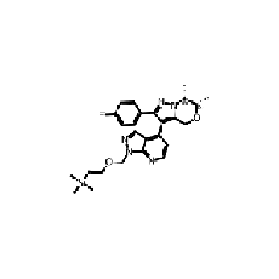 C[C@@H]1OCc2c(-c3ccnc4c3cnn4COCC[Si](C)(C)C)c(-c3ccc(F)cc3)nn2[C@@H]1C